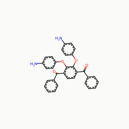 Nc1ccc(Oc2c(C(=O)c3ccccc3)ccc(C(=O)c3ccccc3)c2Oc2ccc(N)cc2)cc1